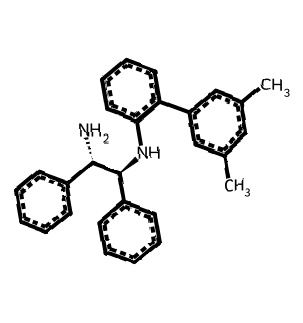 Cc1cc(C)cc(-c2ccccc2N[C@@H](c2ccccc2)[C@@H](N)c2ccccc2)c1